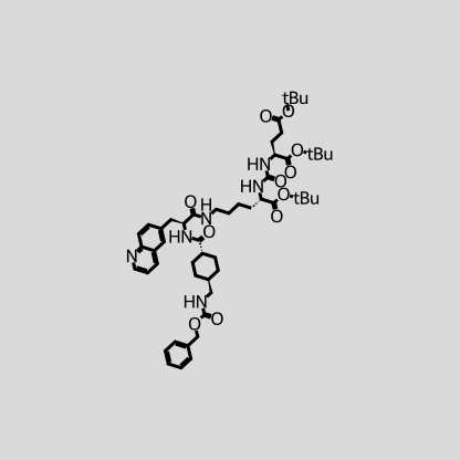 CC(C)(C)OC(=O)CC[C@H](NC(=O)N[C@@H](CCCCNC(=O)[C@H](Cc1ccc2ncccc2c1)NC(=O)[C@H]1CC[C@H](CNC(=O)OCc2ccccc2)CC1)C(=O)OC(C)(C)C)C(=O)OC(C)(C)C